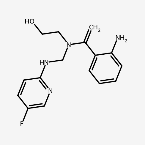 C=C(c1ccccc1N)N(CCO)CNc1ccc(F)cn1